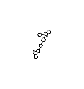 c1ccc(-c2nc3ccccc3nc2-c2ccc(-c3ccc(-c4ccc5c(c4)ncc4ccccc45)cc3)cc2)cc1